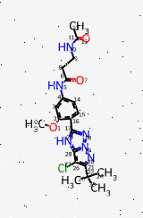 COc1cc(NC(=O)CCNC(C)=O)ccc1-c1nn2nc(C(C)(C)C)c(Cl)c2[nH]1